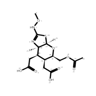 CONC1=N[C@@H]2[C@H](CC(=O)O)[C@H](CC(=O)O)[C@H](COC(C)=O)O[C@@H]2S1